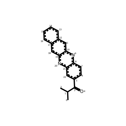 CC(C)C(=O)c1ccc2nc3cc4ccccc4cc3nc2c1